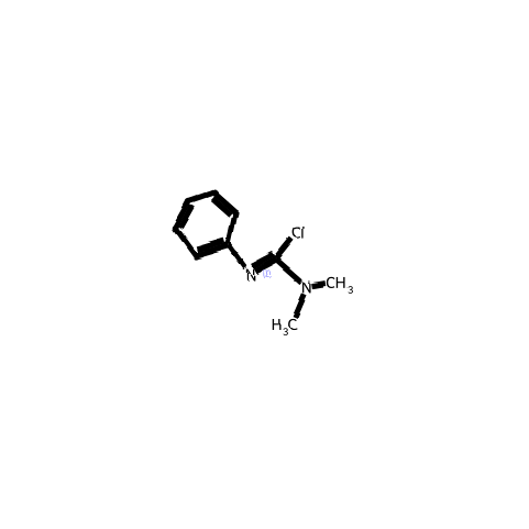 CN(C)/C(Cl)=N/c1ccccc1